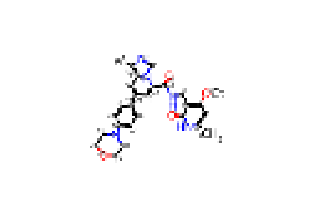 CCOc1cc(C)[nH]c(=O)c1CNC(=O)c1cc(-c2ccc(N3CCOCC3)cc2)cc2c(C(C)C)ncn12